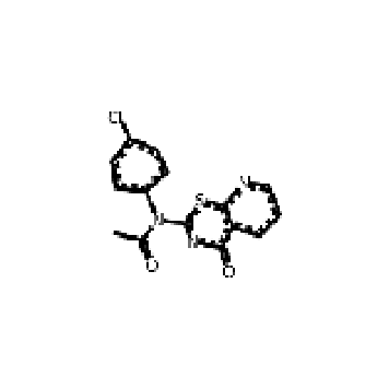 CC(=O)N(c1ccc(Cl)cc1)c1nc(=O)c2cccnc2s1